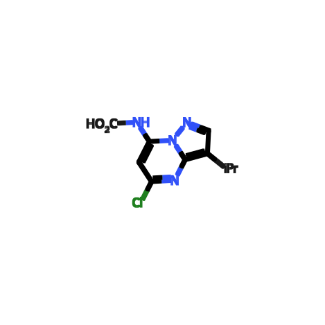 CC(C)c1cnn2c(NC(=O)O)cc(Cl)nc12